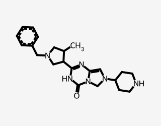 CC1CN(Cc2ccccc2)CC1C1=NC2=CN(C3CCNCC3)CN2C(=O)N1